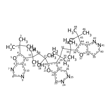 CC(C)(C)c1oc2ncncc2c1C(C)(C)CC(C)(C)c1oc2cnncc2c1C(C)(C)CC(C)(C)c1oc2ccnnc2c1C(C)(C)C